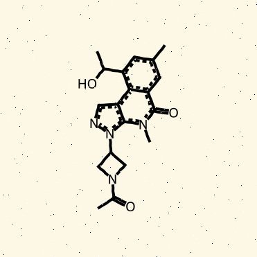 CC(=O)N1CC(n2ncc3c4c(C(C)O)cc(C)cc4c(=O)n(C)c32)C1